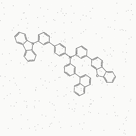 c1cc(-c2ccc3c(c2)oc2ccccc23)cc(N(c2ccc(-c3cccc(-n4c5ccccc5c5ccccc54)c3)cc2)c2cccc(-c3cccc4ccccc34)c2)c1